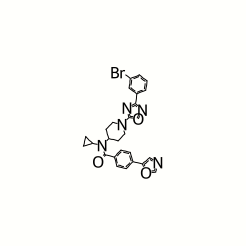 O=C(c1ccc(-c2cnco2)cc1)N(C1CC1)C1CCN(c2nc(-c3cccc(Br)c3)no2)CC1